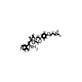 C=C(N1CCO[C@@H](c2ccc(OCCCN(C)C)cc2)C1)N(C)C(=O)/C=C(\N)c1ccncc1F